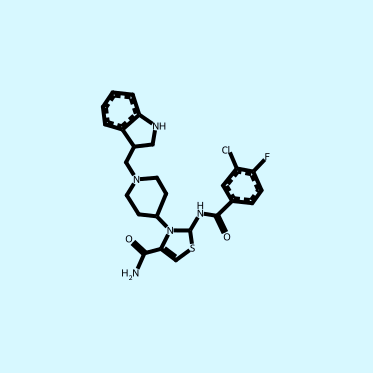 NC(=O)C1=CSC(NC(=O)c2ccc(F)c(Cl)c2)N1C1CCN(CC2CNc3ccccc32)CC1